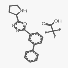 O=C(O)C(F)(F)F.c1ccc(-c2cccc(-c3nnc(C4CCCN4)o3)c2)cc1